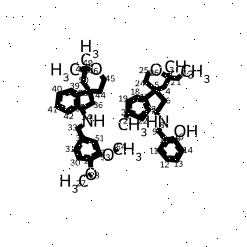 CCC1(C)CC(CCNCc2ccccc2O)(c2ccc(C)cc2)CCO1.COc1ccc(CNCCC2(c3ccccc3)CCOC(C)(C)C2)cc1OC